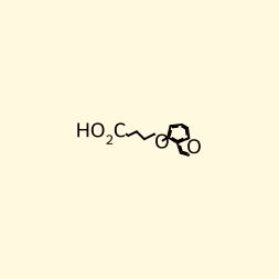 O=C(O)CCCCOc1cccc2occc12